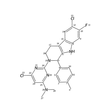 Cc1ccc(C2c3[nH]c4cc(F)c(Cl)cc4c3CCN2c2nc(Cl)cc(N(C)C)n2)cc1